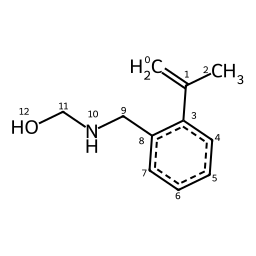 C=C(C)c1ccccc1CNCO